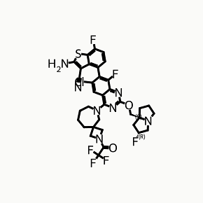 N#Cc1c(N)sc2c(F)ccc(-c3c(Cl)cc4c(N5CCCCC6(CN(C(=O)C(F)(F)F)C6)C5)nc(OC[C@@]56CCCN5C[C@H](F)C6)nc4c3F)c12